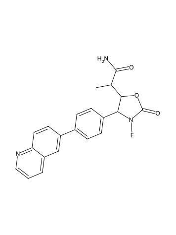 CC(C(N)=O)C1OC(=O)N(F)C1c1ccc(-c2ccc3ncccc3c2)cc1